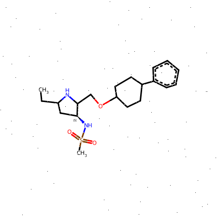 CCC1C[C@H](NS(C)(=O)=O)C(COC2CCC(c3ccccc3)CC2)N1